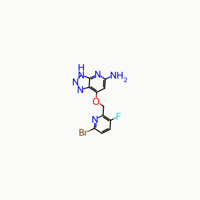 Nc1cc(OCc2nc(Br)ccc2F)c2nn[nH]c2n1